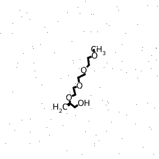 C=C(CO)OCCOCCOCCOC